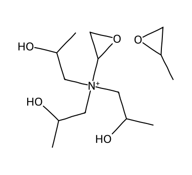 CC(O)C[N+](CC(C)O)(CC(C)O)C1CO1.CC1CO1